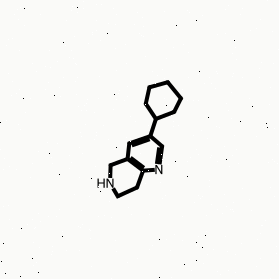 c1nc2c(cc1C1CCCCC1)CNCC2